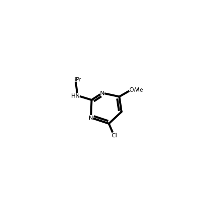 COc1cc(Cl)nc(NC(C)C)n1